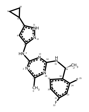 Cc1nc(Nc2cc(C3CC3)[nH]n2)nc(N[C@H](C)c2ccc(F)cc2F)n1